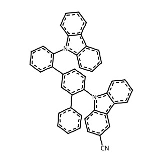 N#Cc1ccc2c(c1)c1ccccc1n2-c1ccc(-c2ccccc2-n2c3ccccc3c3ccccc32)cc1-c1ccccc1